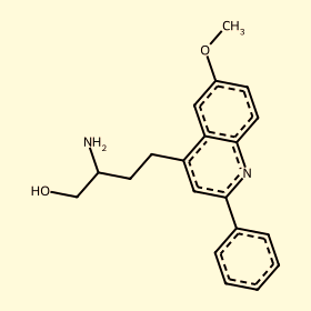 COc1ccc2nc(-c3ccccc3)cc(CCC(N)CO)c2c1